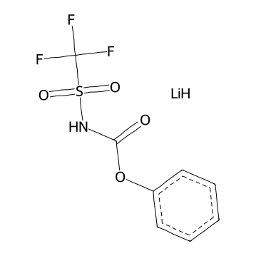 O=C(NS(=O)(=O)C(F)(F)F)Oc1ccccc1.[LiH]